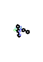 Fc1cccc(Cl)c1-c1c(Cl)cc(-c2ccccn2)nc1NC1CCC(c2ccccc2)CC1